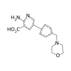 Nc1ncc(-c2ccc(CN3CCOCC3)cc2)cc1C(=O)O